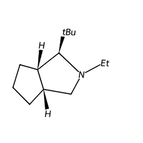 CCN1C[C@@H]2CCC[C@@H]2[C@H]1C(C)(C)C